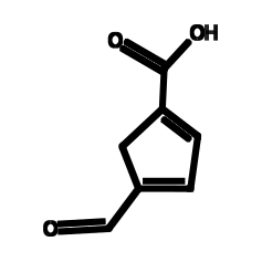 O=CC1=CC=C(C(=O)O)C1